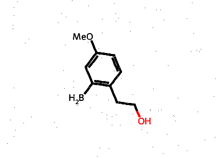 Bc1cc(OC)ccc1CCO